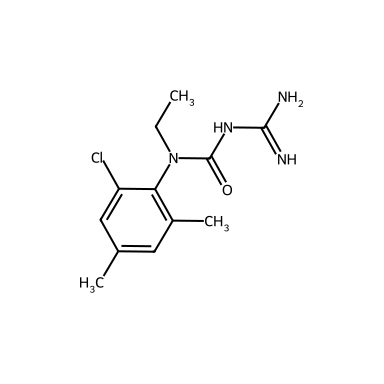 CCN(C(=O)NC(=N)N)c1c(C)cc(C)cc1Cl